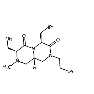 CC(C)CCN1C[C@@H]2CN(C)[C@@H](CO)C(=O)N2[C@@H](CC(C)C)C1=O